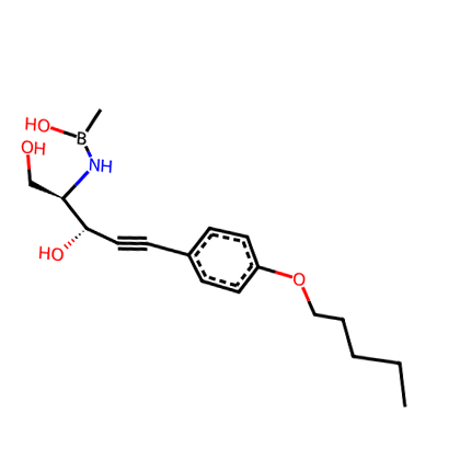 CCCCCOc1ccc(C#C[C@H](O)[C@@H](CO)NB(C)O)cc1